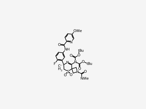 CNC(=O)N1CC2(C1)C(N(C(=O)OC(C)(C)C)C(=O)OC(C)(C)C)=N[C@](C)(c1cc(NC(=O)c3ccc(OC)cn3)ccc1F)CS2(=O)=O